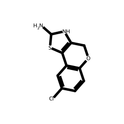 NC1NC2=C(S1)c1cc(Cl)ccc1OC2